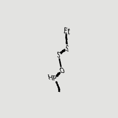 CCSSOPC